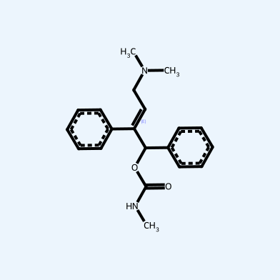 CNC(=O)OC(/C(=C/CN(C)C)c1ccccc1)c1ccccc1